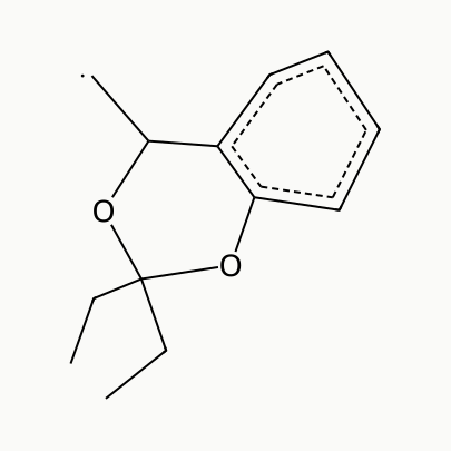 [CH2]C1OC(CC)(CC)Oc2ccccc21